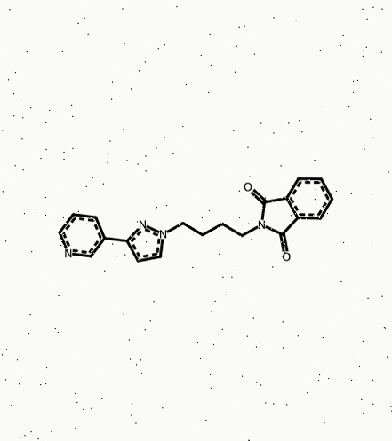 O=C1c2ccccc2C(=O)N1CCCCn1ccc(-c2cccnc2)n1